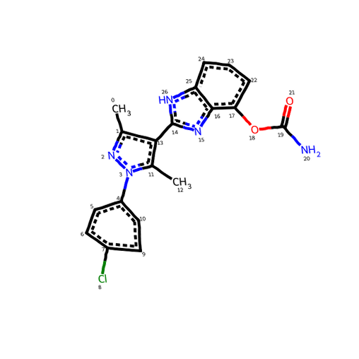 Cc1nn(-c2ccc(Cl)cc2)c(C)c1-c1nc2c(OC(N)=O)cccc2[nH]1